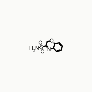 NS(=O)(=O)C1=NC2C=CC=CC2OC1